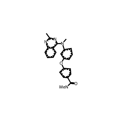 CNC(=O)c1ccc(Oc2cccc(N(C)c3nc(C)nc4ccccc34)c2)cc1